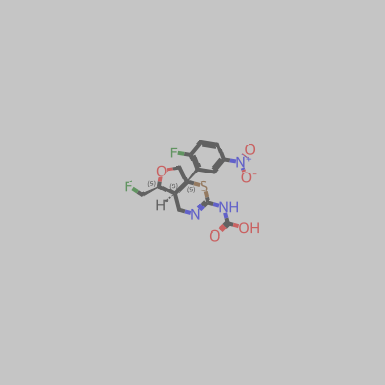 O=C(O)NC1=NC[C@H]2[C@@H](CF)OC[C@]2(c2cc([N+](=O)[O-])ccc2F)S1